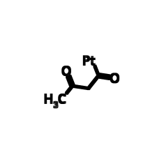 CC(=O)C[C](=O)[Pt]